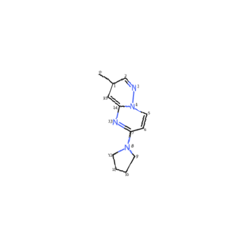 CC1C=NN2C=CC(N3CCCC3)=NC2=C1